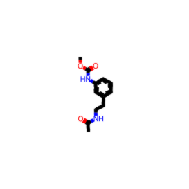 COC(=O)Nc1cccc(CCNC(C)=O)c1